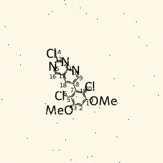 COc1cc(OC)c(Cl)c(-c2cnc3nc(Cl)ncc3c2)c1Cl